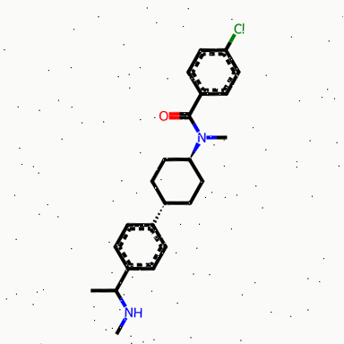 CNC(C)c1ccc([C@H]2CC[C@H](N(C)C(=O)c3ccc(Cl)cc3)CC2)cc1